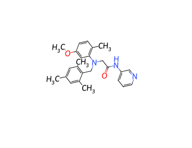 COc1ccc(C)c(N(CC(=O)Nc2cccnc2)Cc2c(C)cc(C)cc2C)c1